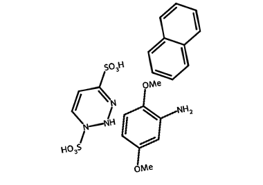 COc1ccc(OC)c(N)c1.O=S(=O)(O)C1=NNN(S(=O)(=O)O)C=C1.c1ccc2ccccc2c1